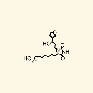 O=C(O)CCCCCCC1C(=O)NC(=O)N1CCC(O)c1ccoc1